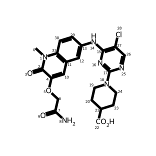 Cn1c(=O)c(OCC(N)=O)cc2cc(Nc3nc(N4CCC(C(=O)O)CC4)ncc3Cl)ccc21